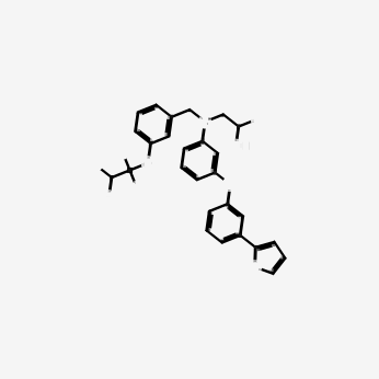 OC(CN(Cc1cccc(OC(F)(F)C(F)F)c1)c1cccc(Oc2cccc(-c3ccco3)c2)c1)C(F)(F)F